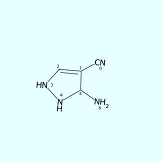 N#CC1=CNNC1N